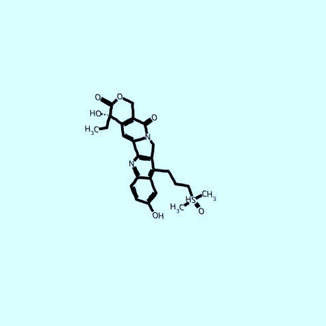 CC[C@@]1(O)C(=O)OCc2c1cc1n(c2=O)Cc2c-1nc1ccc(O)cc1c2CCC[SH](C)(C)=O